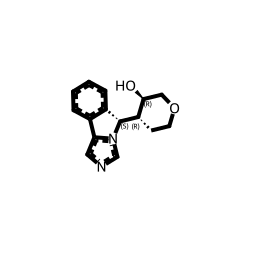 O[C@H]1COCC[C@@H]1[C@H]1c2ccccc2-c2cncn21